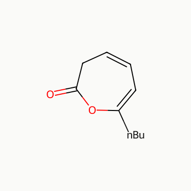 CCCCC1=CC=CCC(=O)O1